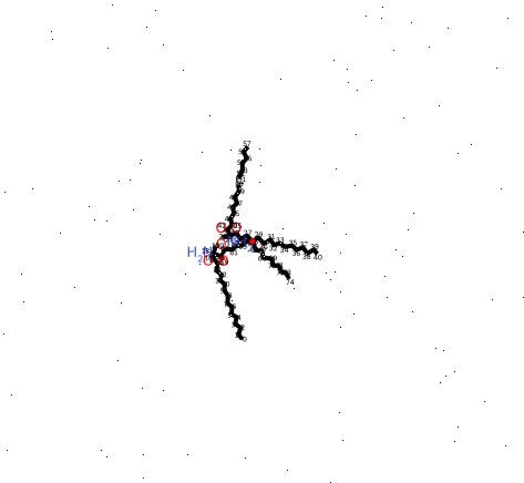 CCCCCCCCCCCCCCCC(=O)C(N)(COCC(N)(C(=O)CCCCCCCCCCCCCCC)C(=O)CCCCCCCCCCCCCCC)C(=O)CCCCCCCCCCCCCCC